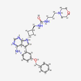 Nc1ncnc2c1c(-c1cccc(OCc3ccccc3)c1)cn2[C@H]1C[C@H](CNC(=O)NCCCN2CCOCC2)C1